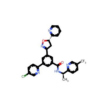 C[C@@H](NC(=O)c1cc(C2=NO[C@H](c3ccccn3)C2)cc(-c2ccc(Cl)cn2)c1)c1ccc(C(F)(F)F)cn1